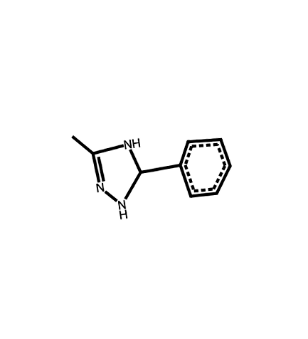 CC1=NNC(c2ccccc2)N1